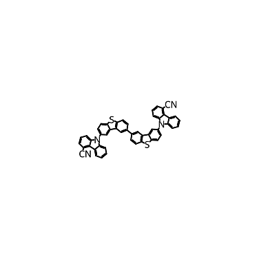 N#Cc1cccc2c1c1ccccc1n2-c1ccc2sc3ccc(-c4ccc5sc6ccc(-n7c8ccccc8c8c(C#N)cccc87)cc6c5c4)cc3c2c1